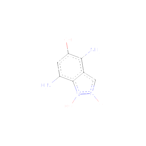 Nc1c(O)cc(N)c2c1c[n+]([O-])n2O